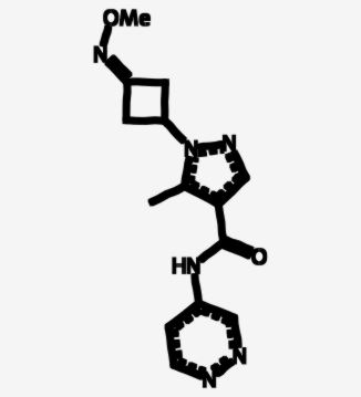 CON=C1CC(n2ncc(C(=O)Nc3ccnnc3)c2C)C1